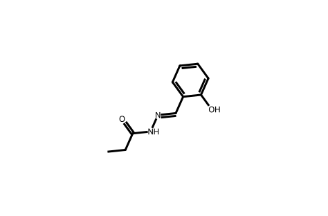 CCC(=O)NN=Cc1ccccc1O